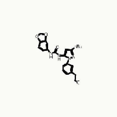 CCCCc1cc(NC(=O)Nc2ccc3c(c2)OCO3)n(-c2cccc(CCCl)c2)n1